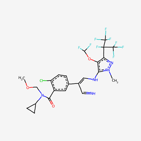 COCN(C(=O)c1cc(/C(C=N)=C/Nc2c(OC(F)F)c(C(F)(C(F)(F)F)C(F)(F)F)nn2C)ccc1Cl)C1CC1